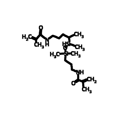 C=C(C)C(=O)NCCCC(C)[SiH](C)O[Si](C)(C)CCCNC(=O)C(=C)C